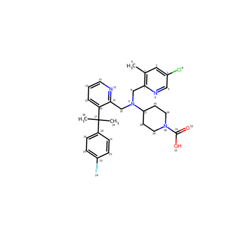 Cc1cc(Cl)cnc1CN(Cc1ncccc1C(C)(C)c1ccc(F)cc1)C1CCN(C(=O)O)CC1